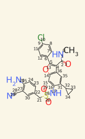 CNC(=O)c1c(-c2ccc(Cl)cc2)oc2cc(NS(=O)(=O)Cc3ccc(N)c(C#N)c3)c(C3CC3)cc12